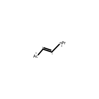 CCCC=CC(C)=O